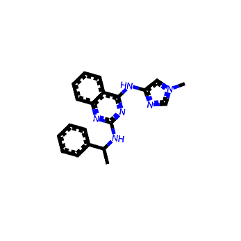 CC(Nc1nc(Nc2cn(C)cn2)c2ccccc2n1)c1ccccc1